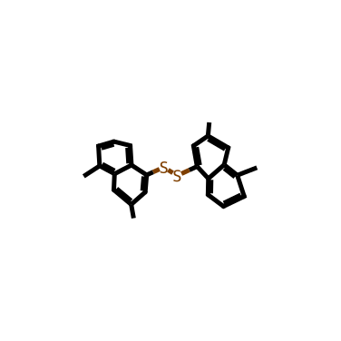 Cc1cc(SSc2cc(C)cc3c(C)cccc23)c2cccc(C)c2c1